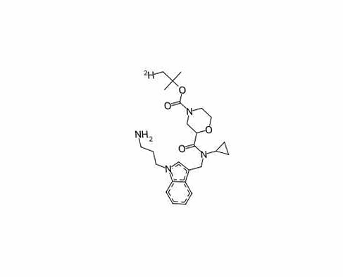 [2H]CC(C)(C)OC(=O)N1CCOC(C(=O)N(Cc2cn(CCCN)c3ccccc23)C2CC2)C1